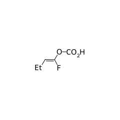 CCC=C(F)OC(=O)O